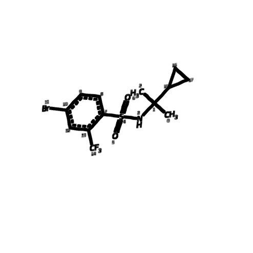 CC(C)(NS(=O)(=O)c1ccc(Br)cc1C(F)(F)F)C1CC1